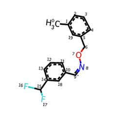 Cc1cccc(CO/N=[C]\c2cccc(C(F)F)c2)c1